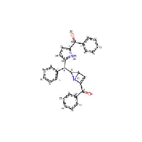 O=C(C1=CC2C(C(c3ccccc3)c3ccc(C(=O)c4ccccc4)[nH]3)N12)c1ccccc1